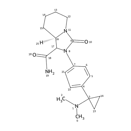 CN(C)C1(c2ccc(N3C(=O)N4CCC[CH][C@@H]4C3C(N)=O)cc2)CC1